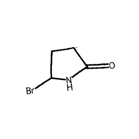 O=C1[CH]CC(Br)N1